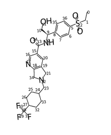 CCS(=O)(=O)c1ccc([C@H](CO)NC(=O)c2cnc3c(c2)CN(CC2CCC(C(F)(F)F)CC2)C3)cc1